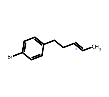 C/C=C/CCc1ccc(Br)cc1